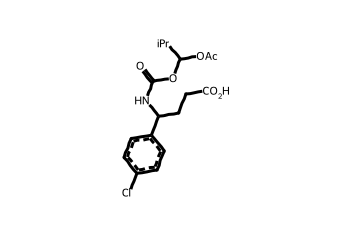 CC(=O)OC(OC(=O)NC(CCC(=O)O)c1ccc(Cl)cc1)C(C)C